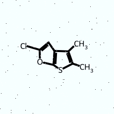 Cc1sc2oc(Cl)cc2c1C